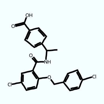 CC(NC(=O)c1cc(Cl)ccc1OCc1ccc(Cl)cc1)c1ccc(C(=O)O)cc1